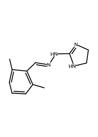 Cc1cccc(C)c1/C=N/NC1=NCCN1